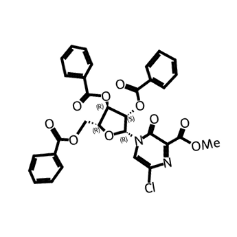 COC(=O)c1nc(Cl)cn([C@@H]2O[C@H](COC(=O)c3ccccc3)[C@@H](OC(=O)c3ccccc3)[C@@H]2OC(=O)c2ccccc2)c1=O